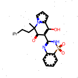 CC(C)CCC1(C)C(=O)C(C2=Nc3ccccc3S(=O)(=O)N2)=C(O)c2cccn21